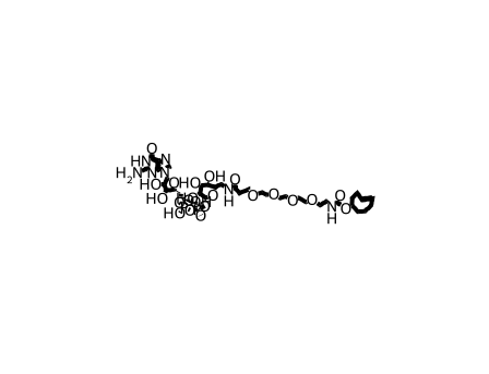 Nc1nc2c(ncn2[C@@H]2O[C@H](COP(=O)(O)OP(=O)(O)O[C@H]3OC(CNC(=O)CCOCCOCCOCCOCCNC(=O)OC4CC/C=C/CCC4)[C@@H](O)C(O)C3O)C(O)C2O)c(=O)[nH]1